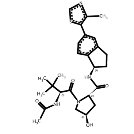 CC(=O)N[C@H](C(=O)N1C[C@H](O)C[C@H]1C(=O)N[C@@H]1CCc2cc(-c3scnc3C)ccc21)C(C)(C)C